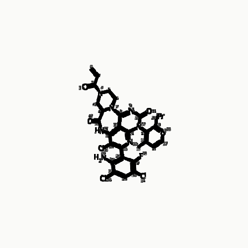 C=CC(=O)N1CCN2c3nc(=O)n(-c4c(C)ccnc4C(C)C)c4nc(-c5c(N)c(Cl)cc(Cl)c5F)c(Cl)c(c34)NC(=O)C2C1